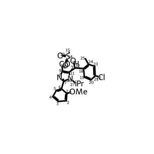 COc1ccccc1-c1nc(C(=O)O)c(C(OS(C)(=O)=O)c2ccc(Cl)cc2C)n1C(C)C